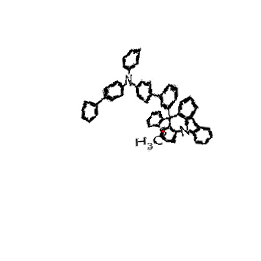 CSc1ccccc1C1(c2cccc(-c3ccc(N(c4ccccc4)c4ccc(-c5ccccc5)cc4)cc3)c2)c2ccccc2-n2c3ccccc3c3cccc1c32